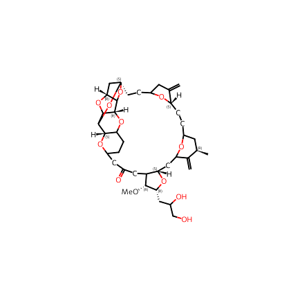 C=C1C2C[C@@H]3O[C@H](CC(O)CO)[C@H](OC)C3CC(=O)CC3CCC4O[C@@H]5C6O[C@@H]7C[C@](CCC8CC(=C)[C@H](CCC(C[C@H]1C)O2)O8)(OC6[C@H]4O3)OC57